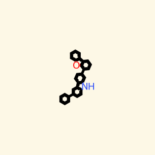 c1ccc(-c2ccc3[nH]c4cc(-c5cccc6c5oc5ccccc56)ccc4c3c2)cc1